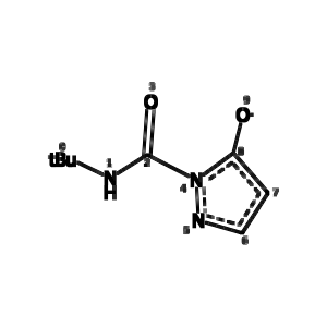 CC(C)(C)NC(=O)n1nccc1[O]